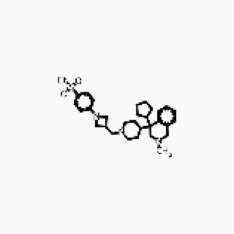 CCS(=O)(=O)c1ccc(N2CC(CN3CCC(C4(C5CCCC5)CN(C)Cc5ccccc54)CC3)C2)cc1